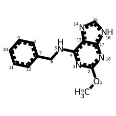 COc1nc(NCc2ccccc2)c2nc[nH]c2n1